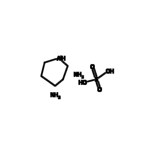 C1C[CH2][AlH][CH2]C1.N.N.O=S(=O)(O)O